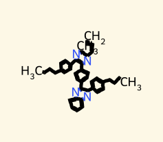 C=C/C=C\c1nc(-c2ccc(-c3nc4ccccc4nc3-c3ccc(CCCC)cc3)cc2)c(-c2ccc(CCCC)cc2)nc1C